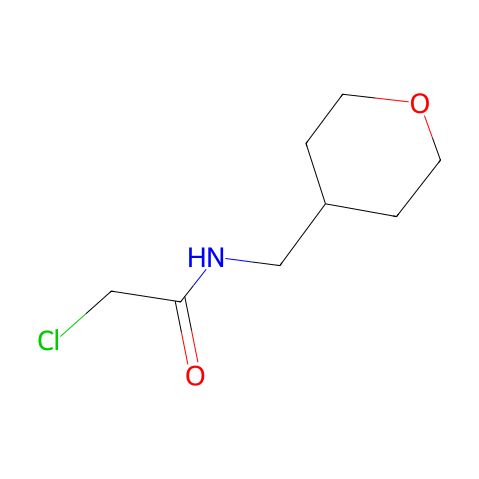 O=C(CCl)NCC1CCOCC1